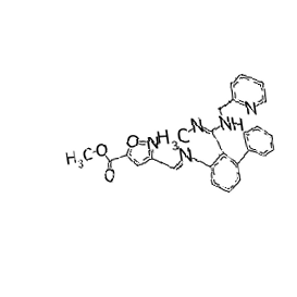 C/N=C(/NCc1ccccn1)c1c(/N=C/c2cc(C(=O)OC)on2)cccc1-c1ccccc1